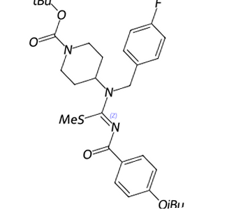 CS/C(=N\C(=O)c1ccc(OCC(C)C)cc1)N(Cc1ccc(F)cc1)C1CCN(C(=O)OC(C)(C)C)CC1